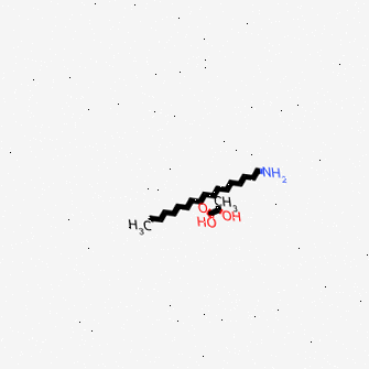 CC(O)C(=O)O.CCCCCCCCCCCCCCCCCCN